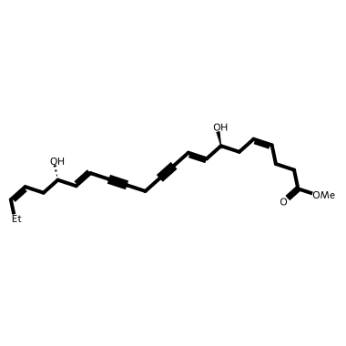 CC/C=C\C[C@H](O)/C=C/C#CCC#C/C=C/[C@@H](O)C/C=C\CCC(=O)OC